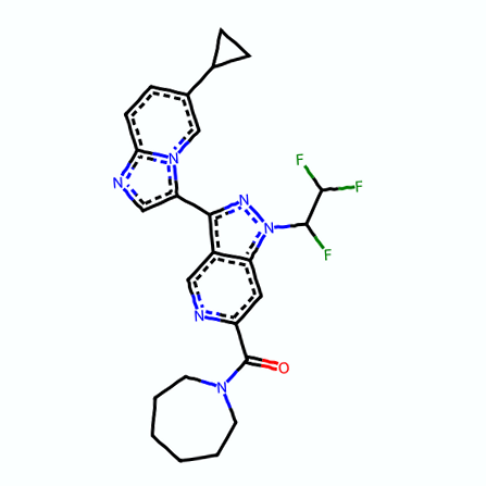 O=C(c1cc2c(cn1)c(-c1cnc3ccc(C4CC4)cn13)nn2C(F)C(F)F)N1CCCCCC1